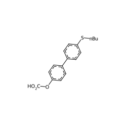 CCCCSc1ccc(-c2ccc(OC(=O)O)cc2)cc1